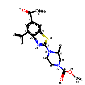 C=C(C)c1cc(C(=O)OC)cc2sc(N3CCN(C(=O)OC(C)(C)C)CC3C)nc12